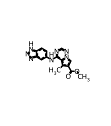 COC(=O)c1cn2ncnc(Nc3ccc4[nH]nnc4c3)c2c1C